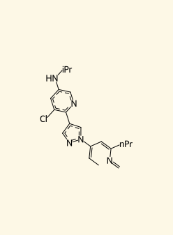 C=N/C(=C\C(=C/C)n1cc(-c2ncc(NC(C)C)cc2Cl)cn1)CCC